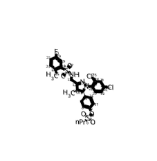 CCCS(=O)(=O)OC1=CCC([C@@H]2[C@H](C)C(CNS(=O)(=O)c3cc(F)ccc3C)=NN2c2ccc(Cl)cc2Cl)C=C1